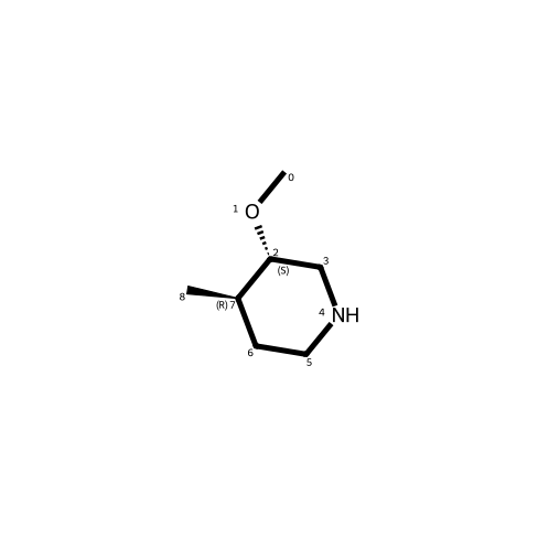 CO[C@@H]1CNCC[C@H]1C